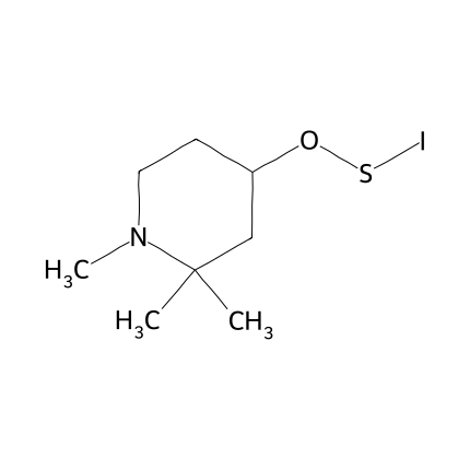 CN1CCC(OSI)CC1(C)C